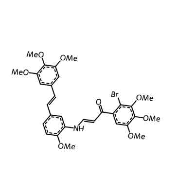 COc1ccc(C=Cc2cc(OC)c(OC)c(OC)c2)cc1NC=CC(=O)c1cc(OC)c(OC)c(OC)c1Br